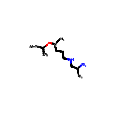 COC(C)O[SiH](C)CCCNCC(C)N